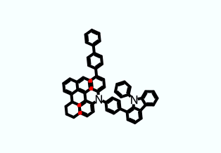 c1ccc(-c2ccc(-c3ccc(N(c4ccc(-c5cccc6c7ccccc7n(-c7ccccc7)c56)cc4)c4ccccc4-c4cccc5cccc(C6CCCCC6)c45)cc3)cc2)cc1